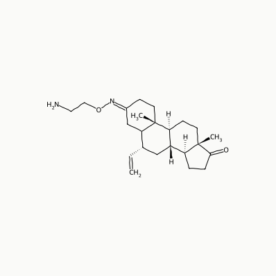 C=C[C@H]1C[C@@H]2[C@H](CC[C@]3(C)C(=O)CC[C@@H]23)[C@@]2(C)CC/C(=N/OCCN)CC12